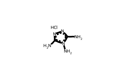 Cl.Nc1nnc(N)n1N